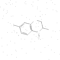 CC1COc2cc(Cl)ccc2N1N